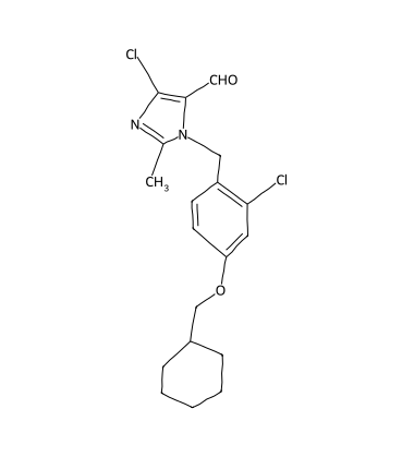 Cc1nc(Cl)c(C=O)n1Cc1ccc(OCC2CCCCC2)cc1Cl